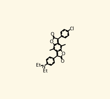 CCN(CC)c1ccc(C2=c3c(C)c4c(c(C)c3OC2=O)=C(c2ccc(Cl)cc2)C(=O)O4)cc1